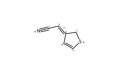 N#C/C=C1\C=CSC1